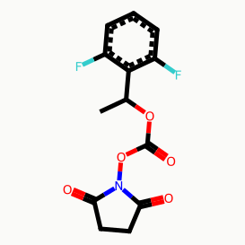 CC(OC(=O)ON1C(=O)CCC1=O)c1c(F)cccc1F